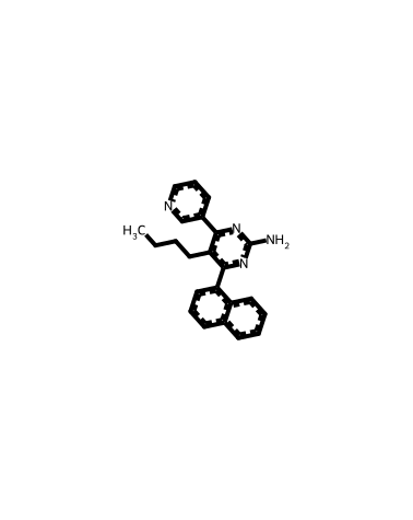 CCCCc1c(-c2cccnc2)nc(N)nc1-c1cccc2ccccc12